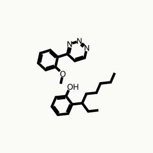 CCCCCC(CC)c1ccccc1O.COc1ccccc1-c1ccnnn1